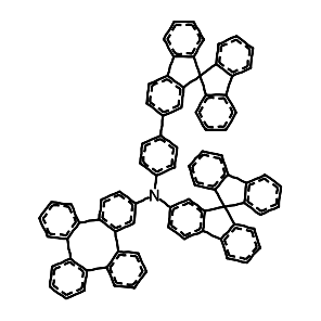 c1ccc2c(c1)-c1ccccc1-c1ccc(N(c3ccc(-c4ccc5c(c4)C4(c6ccccc6-c6ccccc64)c4ccccc4-5)cc3)c3ccc4c(c3)C3(c5ccccc5-c5ccccc53)c3ccccc3-4)cc1-c1ccccc1-2